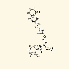 O=C(N[C@@H](CCO[C@H]1C[C@@H](CCc2ccc3c(n2)NCCC3)C1)C(=O)O)c1cccc(F)c1Cl